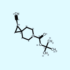 C#C[C@@H]1CC12CCN(C(=O)OC(C)(C)C)CC2